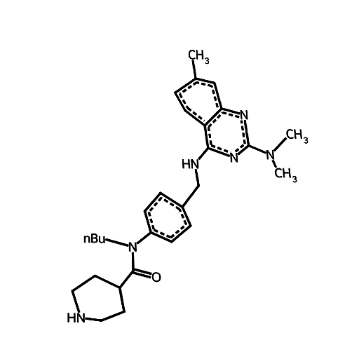 CCCCN(C(=O)C1CCNCC1)c1ccc(CNc2nc(N(C)C)nc3cc(C)ccc23)cc1